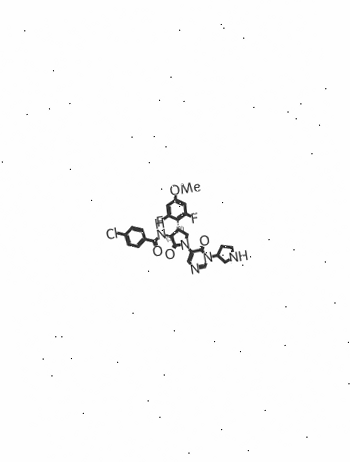 COc1cc(F)c([C@@H]2CN(c3cncn(C4CCNC4)c3=O)C(=O)[C@H]2NC(=O)c2ccc(Cl)cc2)c(F)c1